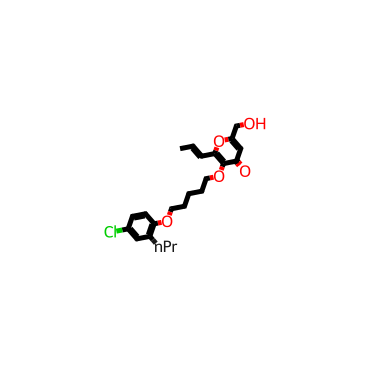 CC=Cc1oc(CO)cc(=O)c1OCCCCCOc1ccc(Cl)cc1CCC